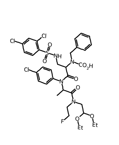 CCOC(CN(CCF)C(=O)C(C)N(C(=O)C(CNS(=O)(=O)c1ccc(Cl)cc1Cl)N(Cc1ccccc1)C(=O)O)c1ccc(Cl)cc1)OCC